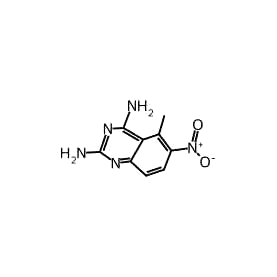 Cc1c([N+](=O)[O-])ccc2nc(N)nc(N)c12